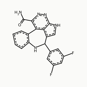 NC(=O)c1nnc2[nH]cc3c2c1-c1ccccc1NC3c1cc(F)cc(F)c1